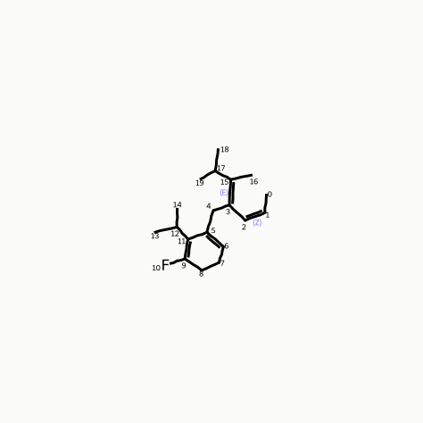 C/C=C\C(CC1=CCCC(F)=C1C(C)C)=C(/C)C(C)C